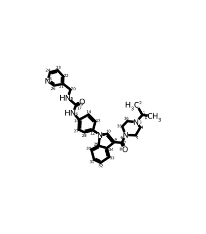 CC(C)N1CCN(C(=O)c2cn(-c3ccc(NC(=O)NCc4cccnc4)cc3)c3ccccc23)CC1